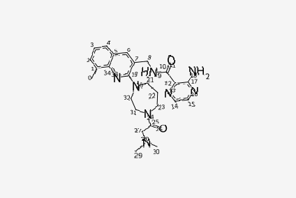 Cc1cccc2cc(CNC(=O)c3nccnc3N)c(N3CCCN(C(=O)CN(C)C)CC3)nc12